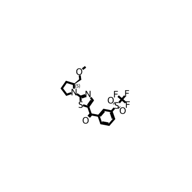 COC[C@@H]1CCCN1c1ncc(C(=O)c2cccc(S(=O)(=O)C(F)(F)F)c2)s1